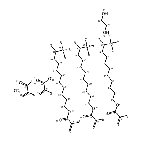 C=C(C)C(=O)OCCCCCCCCCC(C)[N+](C)(C)C.C=C(C)C(=O)OCCCCCCCCCC(C)[N+](C)(C)C.C=C(C)C(=O)OCCCCCCCCCC(C)[N+](C)(C)C.C=C(C)C(=O)[O-].C=C(C)C(=O)[O-].OCCO.[Cl-]